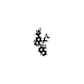 CC(CN(C)C)Oc1cc(-c2cnn(C)c2)cc2ncnc(Nc3ccc4ncccc4c3F)c12